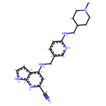 CN1CCC(CNc2ccc(CNc3cc(C#N)nc4[nH]ccc34)cn2)CC1